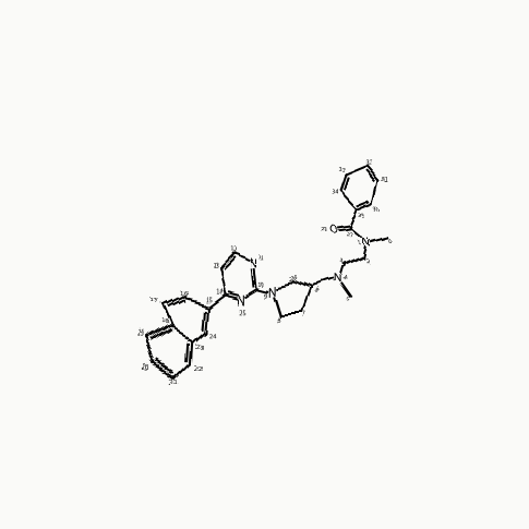 CN(CCN(C)C1CCN(c2nccc(-c3ccc4ccccc4c3)n2)C1)C(=O)c1ccccc1